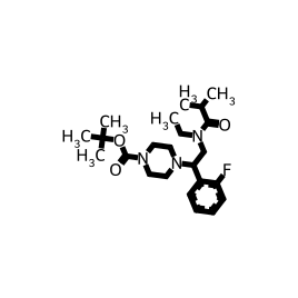 CCN(CC(c1ccccc1F)N1CCN(C(=O)OC(C)(C)C)CC1)C(=O)C(C)C